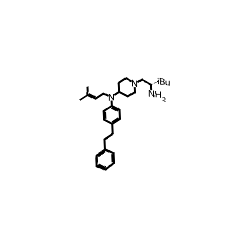 CCC(C)[C@H](N)CN1CCC(N(CC=C(C)C)c2ccc(CCc3ccccc3)cc2)CC1